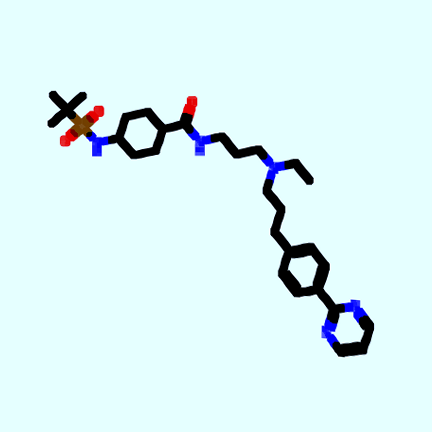 CCN(CCCNC(=O)C1CCC(NS(=O)(=O)C(C)(C)C)CC1)CCCc1ccc(-c2ncccn2)cc1